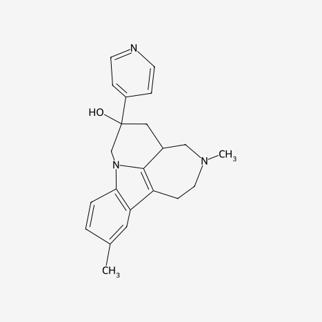 Cc1ccc2c(c1)c1c3n2CC(O)(c2ccncc2)CC3CN(C)CC1